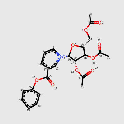 CC(=O)OC[C@H]1O[C@@H]([n+]2cccc(C(=O)Oc3ccccc3)c2)[C@@H](OC(C)=O)C1OC(C)=O